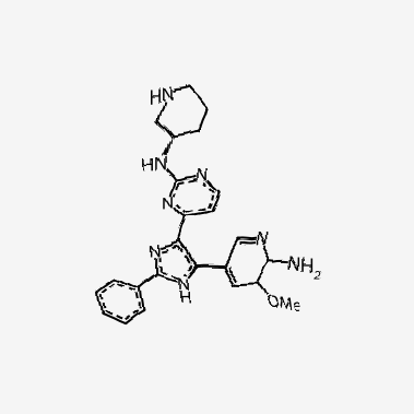 COC1C=C(c2[nH]c(-c3ccccc3)nc2-c2ccnc(N[C@@H]3CCCNC3)n2)C=NC1N